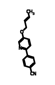 C/C=C/COc1ccc(-c2ccc(C#N)cc2)nc1